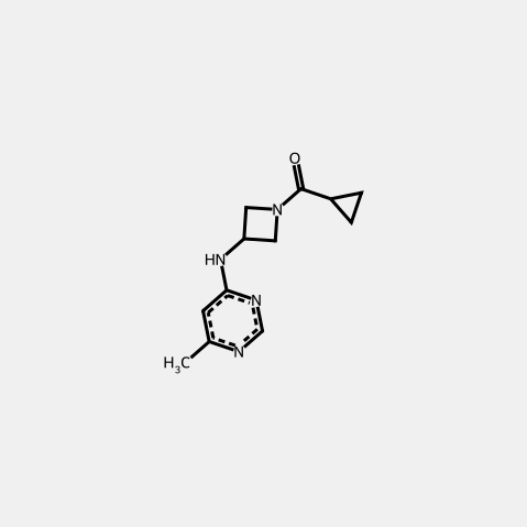 Cc1cc(NC2CN(C(=O)C3CC3)C2)ncn1